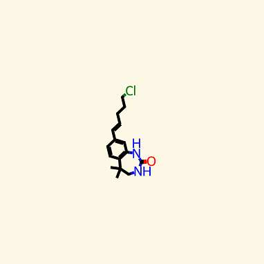 CC1(C)CNC(=O)Nc2cc(C=CCCCCl)ccc21